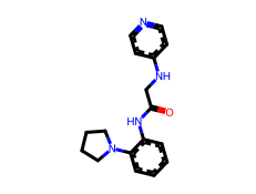 O=C(CNc1ccncc1)Nc1ccccc1N1CCCC1